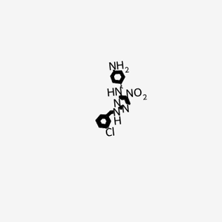 N[C@H]1CC[C@H](CNc2nc(NCc3cccc(Cl)c3)ncc2[N+](=O)[O-])CC1